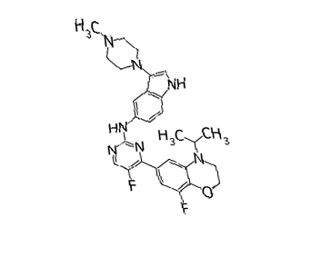 CC(C)N1CCOc2c(F)cc(-c3nc(Nc4ccc5[nH]cc(N6CCN(C)CC6)c5c4)ncc3F)cc21